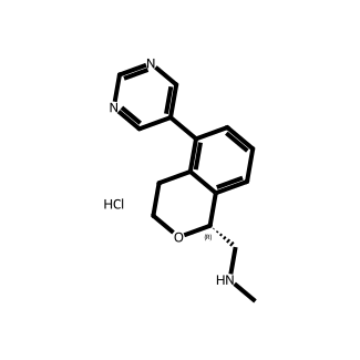 CNC[C@@H]1OCCc2c(-c3cncnc3)cccc21.Cl